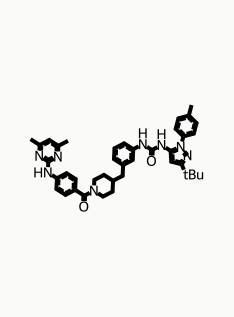 Cc1ccc(-n2nc(C(C)(C)C)cc2NC(=O)Nc2cccc(CC3CCN(C(=O)c4ccc(Nc5nc(C)cc(C)n5)cc4)CC3)c2)cc1